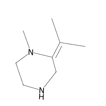 CC(C)=C1CNCCN1C